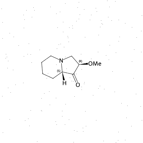 CO[C@@H]1CN2CCCC[C@H]2C1=O